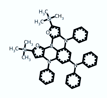 C[Si](C)(C)c1cc2c(o1)B1c3oc([Si](C)(C)C)cc3N(c3ccccc3)c3cc(N(c4ccccc4)c4ccccc4)cc(c31)N2c1ccccc1